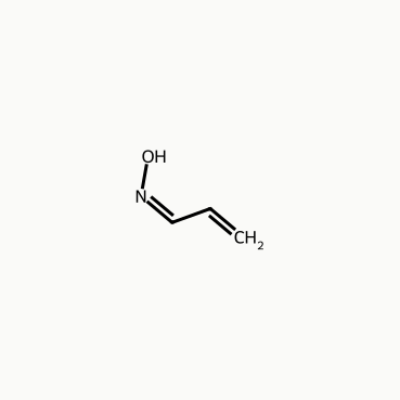 C=C/C=N\O